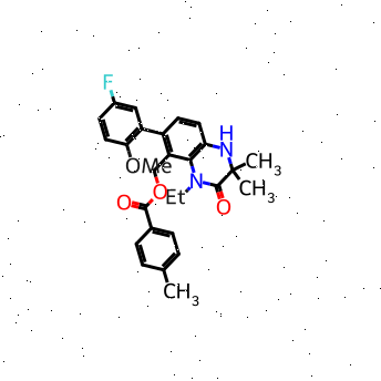 CCN1C(=O)C(C)(C)Nc2ccc(-c3cc(F)ccc3OC)c(COC(=O)c3ccc(C)cc3)c21